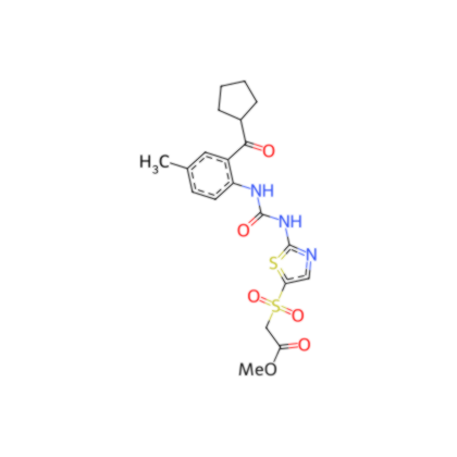 COC(=O)CS(=O)(=O)c1cnc(NC(=O)Nc2ccc(C)cc2C(=O)C2CCCC2)s1